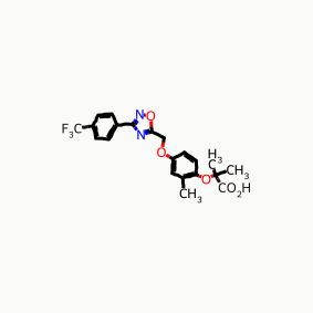 Cc1cc(OCc2nc(-c3ccc(C(F)(F)F)cc3)no2)ccc1OC(C)(C)C(=O)O